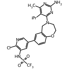 Cc1nc(N)nc(N2CCOc3ccc(-c4cnc(Cl)c(NS(=O)(=O)C(F)(F)F)c4)cc3C2)c1C(C)C